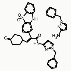 Nc1ccn(Cc2ccccc2)n1.O=C1CCC(/C=C(/C(=O)Nc2ccn(Cc3ccccc3)n2)c2ccc3c(c2)Nc2ccccc2S3(=O)=O)CC1